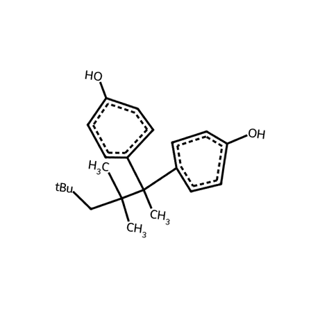 CC(C)(C)CC(C)(C)C(C)(c1ccc(O)cc1)c1ccc(O)cc1